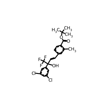 Cc1cc(C=CC(O)(c2cc(Cl)cc(Cl)c2)C(F)(F)F)ccc1C(=O)OC(C)(C)C